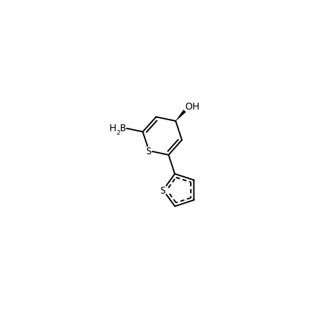 BC1=C[C@@H](O)C=C(c2cccs2)S1